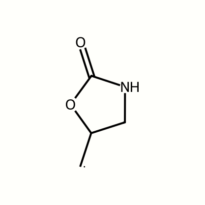 [CH2]C1CNC(=O)O1